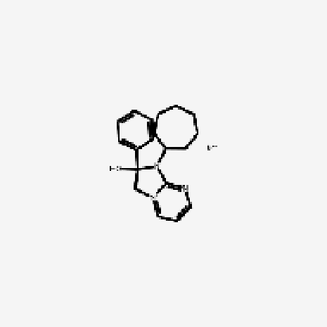 OC1(c2ccccc2)C[n+]2cccnc2N1C1CCCCCC1.[Br-]